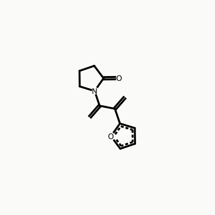 C=C(C(=C)N1CCCC1=O)c1ccco1